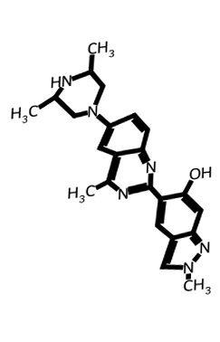 Cc1nc(-c2cc3cn(C)nc3cc2O)nc2ccc(N3CC(C)NC(C)C3)cc12